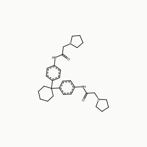 O=C(CN1CCCC1)Nc1ccc(C2(c3ccc(NC(=O)CN4CCCC4)cc3)CCCCC2)cc1